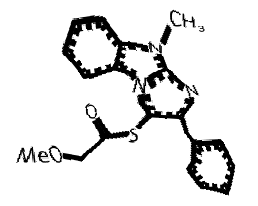 COCC(=O)Sc1c(-c2ccccc2)nc2n(C)c3ccccc3n12